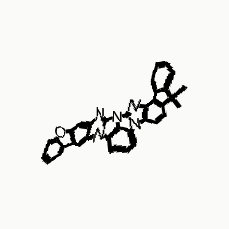 CC1(C)c2ccccc2-c2c1ccc1c2nc2n1c1cccc3c1n2c1nc2cc4oc5ccccc5c4cc2n31